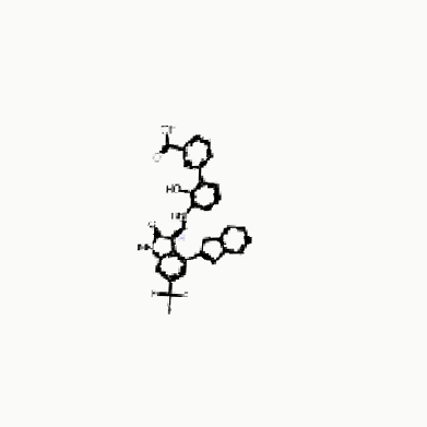 O=C1Nc2cc(C(F)(F)F)cc(C3=Cc4ccccc4C3)c2/C1=C/Nc1cccc(-c2cccc(C(=O)O)c2)c1O